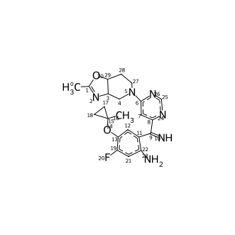 CC1=NC2CN(c3cc(C(=N)c4cc(OC5(C)CC5)c(F)cc4N)ncn3)CCC2O1